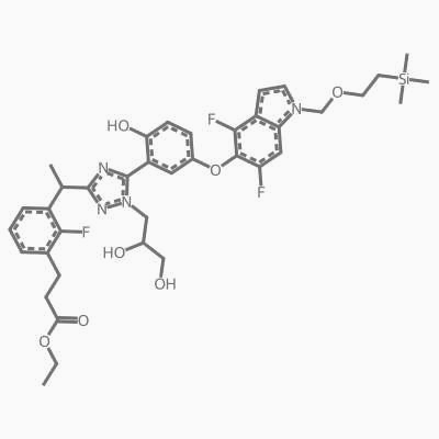 CCOC(=O)CCc1cccc(C(C)c2nc(-c3cc(Oc4c(F)cc5c(ccn5COCC[Si](C)(C)C)c4F)ccc3O)n(CC(O)CO)n2)c1F